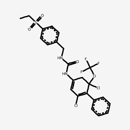 CCS(=O)(=O)c1ccc(CNC(=O)NC2=CC(Cl)=C(c3ccccc3)C(Cl)(OC(F)(F)F)C2)cc1